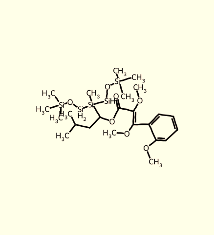 COC(C(=O)OC(CC(C)C)[Si](C)([SiH2]O[Si](C)(C)C)[SiH2]O[Si](C)(C)C)=C(OC)c1ccccc1OC